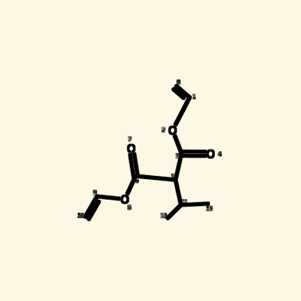 C=COC(=O)C(C(=O)OC=C)C(C)C